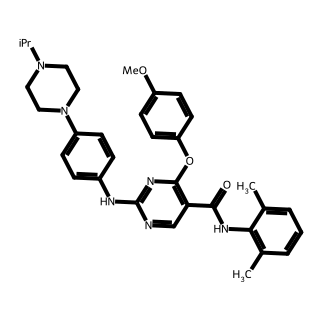 COc1ccc(Oc2nc(Nc3ccc(N4CCN(C(C)C)CC4)cc3)ncc2C(=O)Nc2c(C)cccc2C)cc1